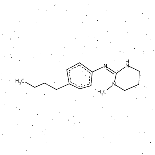 CCCCc1ccc(/N=C2/NCCCN2C)cc1